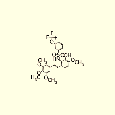 COc1ccc(C=Cc2cc(OC)c(OC)c(OC)c2)c(NS(=O)(=O)c2cccc(OC(F)(F)F)c2)c1O